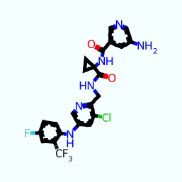 Nc1cncc(C(=O)NC2(C(=O)NCc3ncc(Nc4ccc(F)cc4C(F)(F)F)cc3Cl)CC2)c1